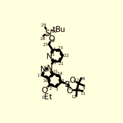 CCOc1cc(B2OC(C)(C)C(C)(C)O2)cc2c1cnn2-c1cccc(CO[Si](C)(C)C(C)(C)C)n1